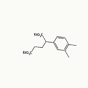 CCOC(=O)CCC(C(=O)OCC)c1ccc(C)c(C)c1